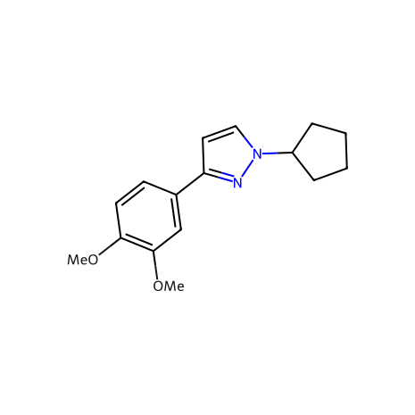 COc1ccc(-c2ccn(C3CCCC3)n2)cc1OC